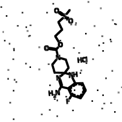 CS(=O)(=O)CCCOC(=O)N1CCC2(CC1)N=C(N)c1c(F)cccc1N2.Cl